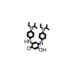 CCN(c1ccc(/N=C2\C=C(Nc3ccc(N(CC)C(C)C)cc3)C(=O)C=C2O)cc1)C(C)C